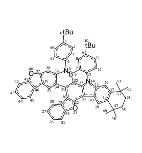 CC(C)(C)c1ccc(N2B3c4cc(C(C)(C)C)ccc4-n4c5cc6c(cc5c5c7oc8ccccc8c7c(c3c54)-c3cc4c(cc32)oc2ccccc24)C(C)(C)CCC6(C)C)cc1